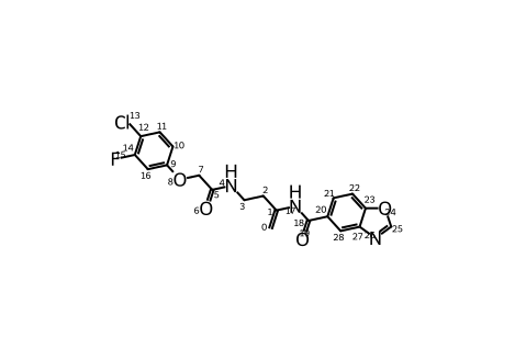 C=C(CCNC(=O)COc1ccc(Cl)c(F)c1)NC(=O)c1ccc2ocnc2c1